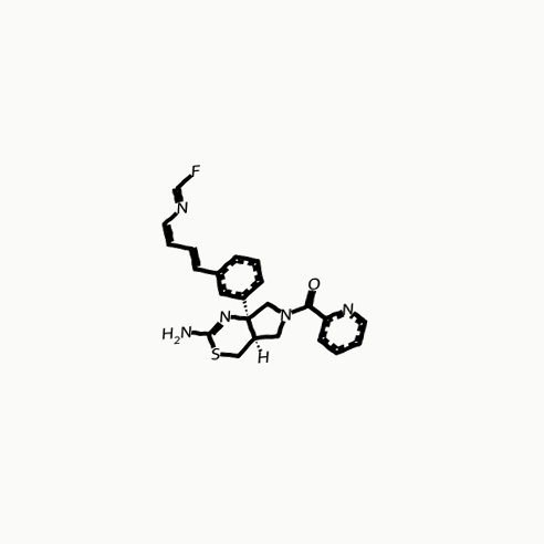 NC1=N[C@@]2(c3cccc(/C=C/C=C\N=C\F)c3)CN(C(=O)c3ccccn3)C[C@H]2CS1